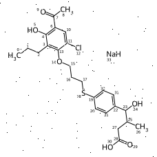 CCCc1c(O)c(C(C)=O)cc(Cl)c1OCCCSc1ccc(C(O)C(C)CC(=O)O)cc1.[NaH]